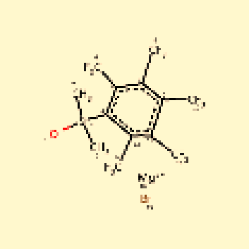 C[Si](C)([O-])c1c(C(F)(F)F)c(C(F)(F)F)c(C(F)(F)F)c(C(F)(F)F)c1C(F)(F)F.[Br-].[Mg+2]